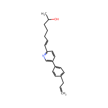 C=CCc1ccc(-c2ccc(C=CCCCC(C)O)nc2)cc1